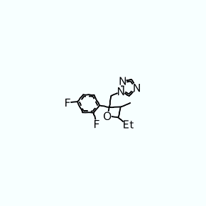 CCC1OC(Cn2cncn2)(c2ccc(F)cc2F)C1C